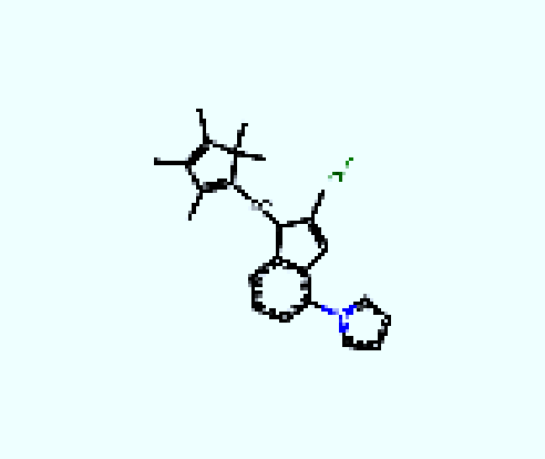 CC1=Cc2c(cccc2-n2cccc2)[CH]1[Zr+2][C]1=C(C)C(C)=C(C)C1(C)C.[Cl-].[Cl-]